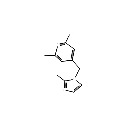 Cc1nccn1Cc1cc(Cl)nc(Cl)c1